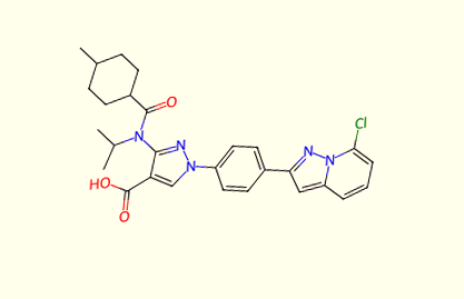 CC1CCC(C(=O)N(c2nn(-c3ccc(-c4cc5cccc(Cl)n5n4)cc3)cc2C(=O)O)C(C)C)CC1